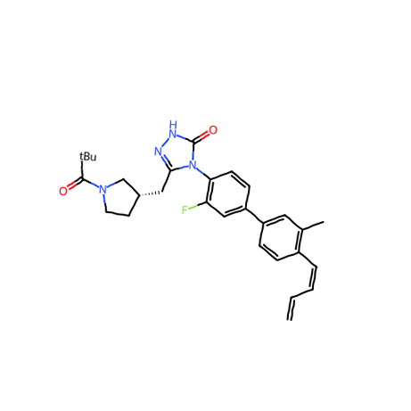 C=C/C=C\c1ccc(-c2ccc(-n3c(C[C@@H]4CCN(C(=O)C(C)(C)C)C4)n[nH]c3=O)c(F)c2)cc1C